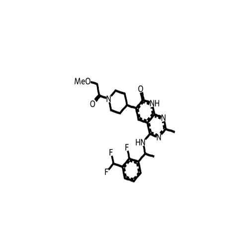 COCC(=O)N1CCC(c2cc3c(NC(C)c4cccc(C(F)F)c4F)nc(C)nc3[nH]c2=O)CC1